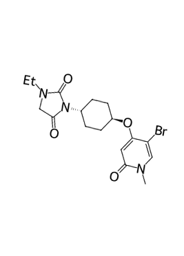 CCN1CC(=O)N([C@H]2CC[C@H](Oc3cc(=O)n(C)cc3Br)CC2)C1=O